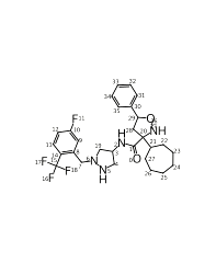 O=C(NC1CNN(Cc2cc(F)ccc2C(F)(F)F)C1)C1(C2CCCCCC2)CC(c2ccccc2)ON1